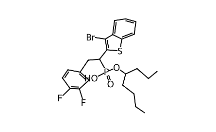 CCCCC(CCC)OP(=O)(O)C(Cc1ccc(F)c(F)c1)c1sc2ccccc2c1Br